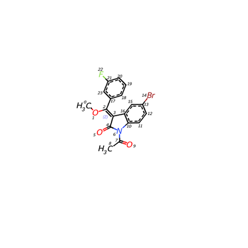 CO/C(=C1\C(=O)N(C(C)=O)c2ccc(Br)cc21)c1cccc(F)c1